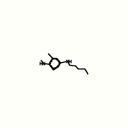 CCCCCNc1ccc(NC)c(C)c1